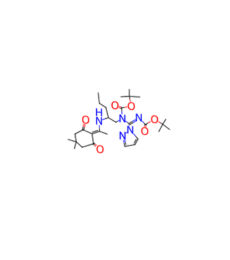 CCCC(CN(C(=O)OC(C)(C)C)C(=NC(=O)OC(C)(C)C)n1cccn1)NC(C)=C1C(=O)CC(C)(C)CC1=O